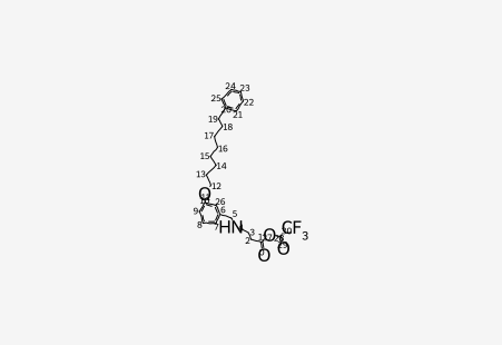 O=C(CCNCc1cccc(OCCCCCCCCc2ccccc2)c1)OC(=O)C(F)(F)F